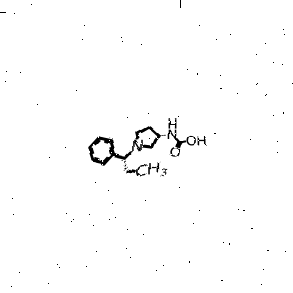 CC[C@H](c1ccccc1)N1CC[C@H](NC(=O)O)C1